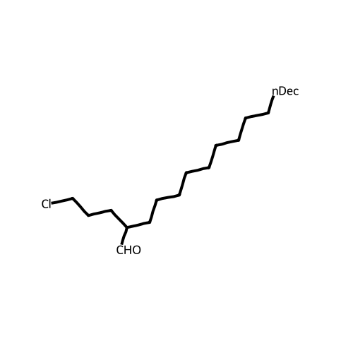 CCCCCCCCCCCCCCCCCCCC(C=O)CCCCl